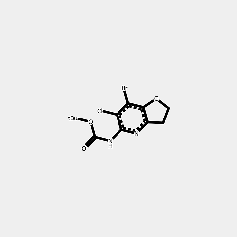 CC(C)(C)OC(=O)Nc1nc2c(c(Br)c1Cl)OCC2